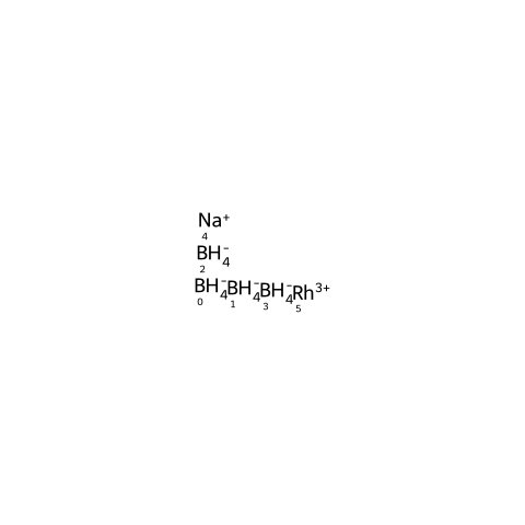 [BH4-].[BH4-].[BH4-].[BH4-].[Na+].[Rh+3]